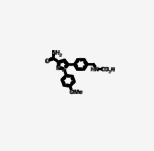 COc1ccc(-n2nc(C(N)=O)cc2-c2ccc(CNC(=O)O)cc2)cc1